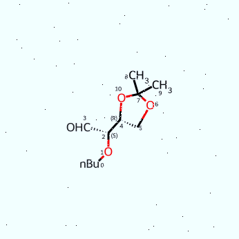 CCCCO[C@H](C=O)[C@H]1COC(C)(C)O1